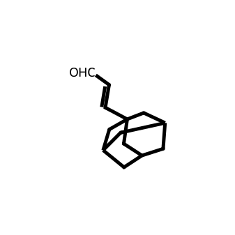 O=CC=CC12CC3CC(CC(C3)C1)C2